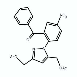 CC(=O)OCc1cc(COC(C)=O)n(-c2ccc([N+](=O)[O-])cc2C(=O)c2ccccc2)n1